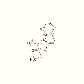 COP(=O)(Cc1ccc2ccccc2n1)OC